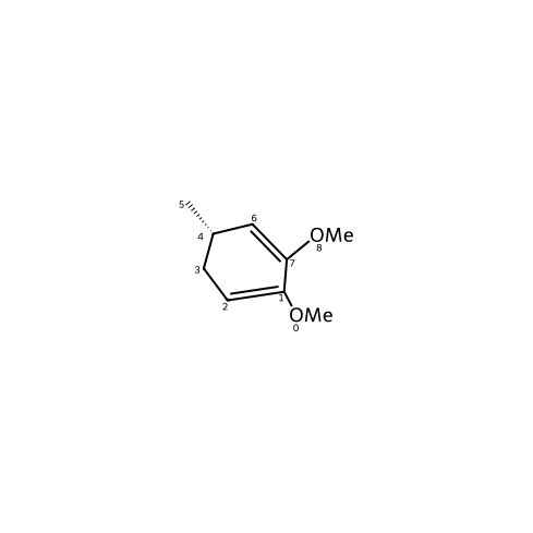 COC1=CC[C@H](C)C=C1OC